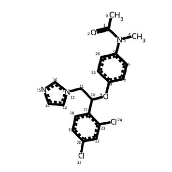 CC(=O)N(C)c1ccc(OC(Cn2ccnc2)c2ccc(Cl)cc2Cl)cc1